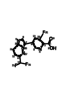 O=C(O)c1ncc(-c2cnc3ccc(C(F)F)nn23)cc1F